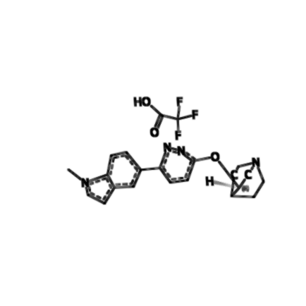 Cn1ccc2cc(-c3ccc(O[C@H]4CN5CCC4CC5)nn3)ccc21.O=C(O)C(F)(F)F